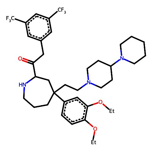 CCOc1ccc(C2(CCN3CCC(N4CCCCC4)CC3)CCCNC(C(=O)Cc3cc(C(F)(F)F)cc(C(F)(F)F)c3)C2)cc1OCC